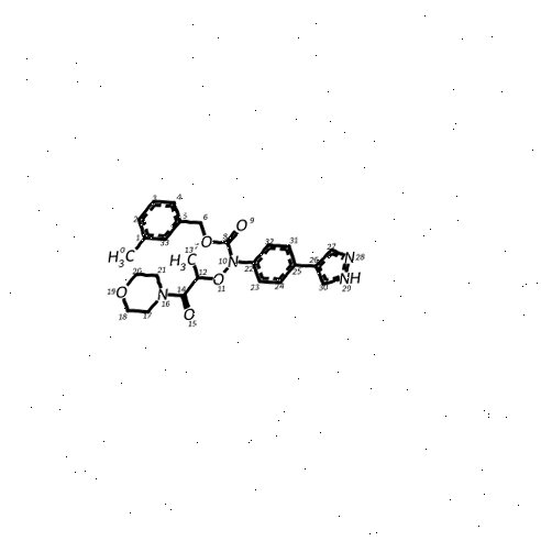 Cc1cccc(COC(=O)N(OC(C)C(=O)N2CCOCC2)c2ccc(-c3cn[nH]c3)cc2)c1